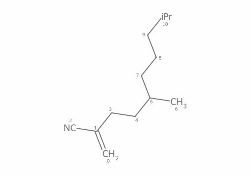 C=C(C#N)CCC(C)CCCC(C)C